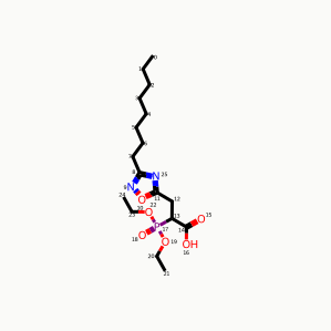 CCCCCCCCc1noc(CC(C(=O)O)P(=O)(OCC)OCC)n1